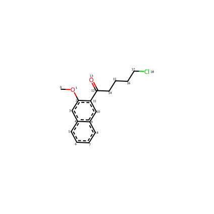 COc1cc2ccccc2cc1C(=O)CCCCCl